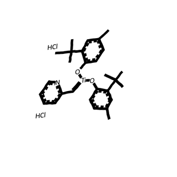 Cc1ccc([O][Ti](=[CH]c2ccccn2)[O]c2ccc(C)cc2C(C)(C)C)c(C(C)(C)C)c1.Cl.Cl